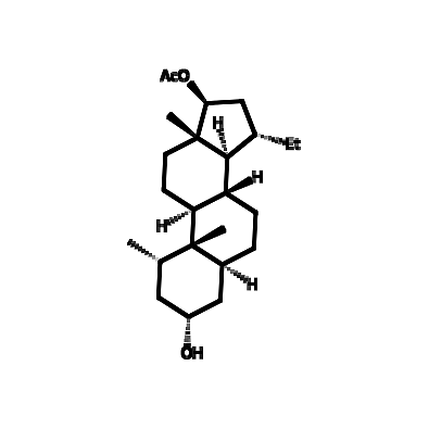 CC[C@H]1C[C@H](OC(C)=O)[C@@]2(C)CC[C@H]3[C@@H](CC[C@H]4C[C@H](O)C[C@H](C)[C@@]43C)[C@H]12